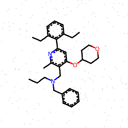 CCCN(Cc1ccccc1)Cc1c(OC2CCOCC2)cc(-c2c(CC)cccc2CC)nc1C